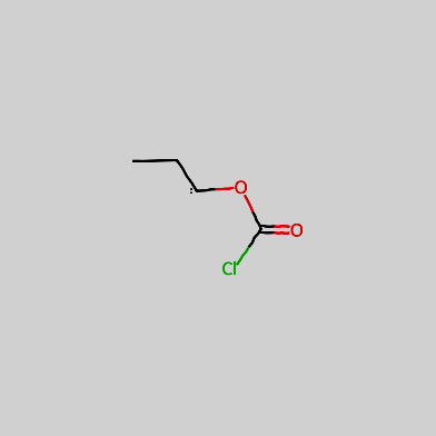 CC[C]OC(=O)Cl